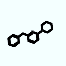 c1ccc(Cc2cccc(N3CCCCC3)n2)cc1